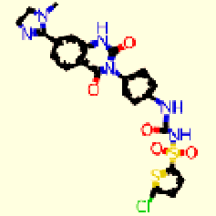 CN1CCN=C1c1ccc2c(=O)n(-c3ccc(NC(=O)NS(=O)(=O)c4ccc(Cl)s4)cc3)c(=O)[nH]c2c1